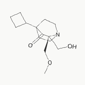 COC[C@@]1(CO)C(=O)C2(C3CCC3)CCN1CC2